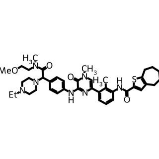 CCN1CCN(C(C(=O)N(C)CCOC)c2ccc(Nc3nc(-c4cccc(NC(=O)c5cc6c(s5)CCCCC6)c4C)cn(C)c3=O)cc2)CC1